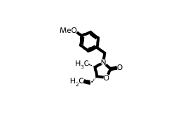 C=C[C@H]1OC(=O)N(Cc2ccc(OC)cc2)[C@H]1C